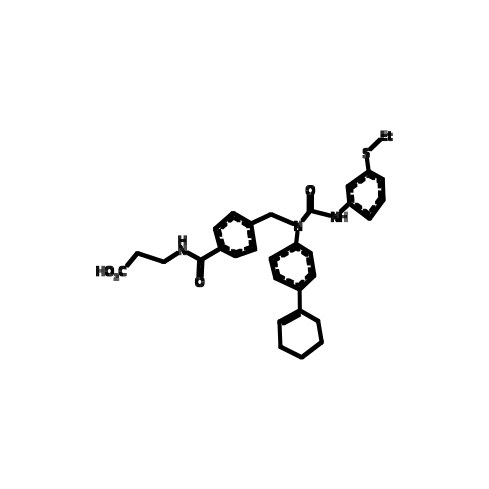 CCSc1cccc(NC(=O)N(Cc2ccc(C(=O)NCCC(=O)O)cc2)c2ccc(C3=CCCCC3)cc2)c1